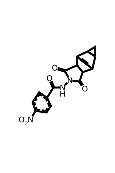 O=C(NN1C(=O)C2C3C=CC(C4CC34)C2C1=O)c1ccc([N+](=O)[O-])cc1